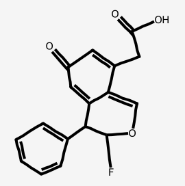 O=C1C=C(CC(=O)O)C2=COC(F)C(c3ccccc3)C2=C1